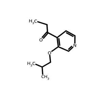 CCC(=O)c1ccncc1OCC(C)C